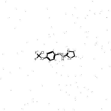 FC(F)(Cl)Oc1ccc(NNC2=NCCS2)cc1